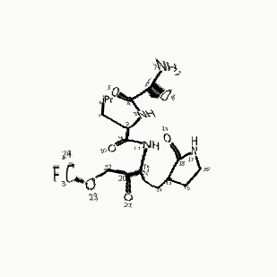 CC(C)CC(NC(=O)C(N)=O)C(=O)NC(CC1CCNC1=O)C(=O)COC(F)(F)F